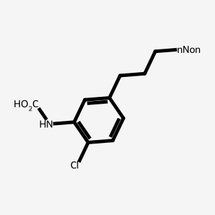 CCCCCCCCCCCCc1ccc(Cl)c(NC(=O)O)c1